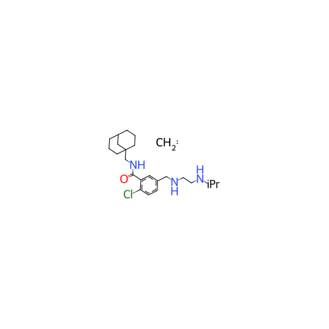 CC(C)NCCNCc1ccc(Cl)c(C(=O)NCC23CCCC(CCC2)C3)c1.[CH2]